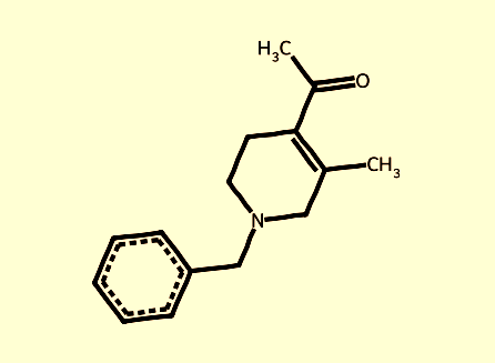 CC(=O)C1=C(C)CN(Cc2ccccc2)CC1